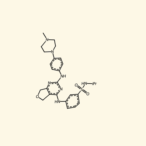 CC(C)NS(=O)(=O)c1cccc(Nc2nc(Nc3ccc(N4CCN(C)CC4)cc3)nc3c2COC3)c1